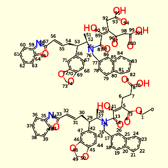 CCOC(=O)C(CCC(=O)O)=C(O)C(=O)N(Cc1ccc2ccccc2c1)[C@H](C)[C@H](C/C=C/c1nc2ccccc2o1)c1ccc2c(c1)OCO2.C[C@H]([C@H](C/C=C/c1nc2ccccc2o1)c1ccc2c(c1)OCO2)N(Cc1ccc2ccccc2c1)C(=O)C(O)=C(CC(=O)O)C(=O)CC(=O)O